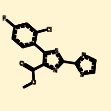 COC(=O)c1nc(-c2nccs2)sc1-c1ccc(F)cc1Cl